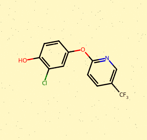 Oc1ccc(Oc2ccc(C(F)(F)F)cn2)cc1Cl